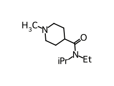 CCN(C(=O)C1CCN(C)CC1)C(C)C